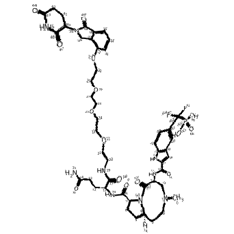 CN1CC[C@H]2CC[C@@H](C(=O)N[C@@H](CCC(N)=O)C(=O)NCCOCCOCCOCCOc3cccc4c3CN(C3CCC(=O)NC3=O)C4=O)N2C(=O)[C@@H](NC(=O)c2cc3cc(C(F)(F)P(=O)(O)O)ccc3[nH]2)C1